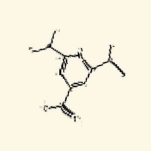 CC(C)c1cc(C(=O)O)cc(C(C)C)n1